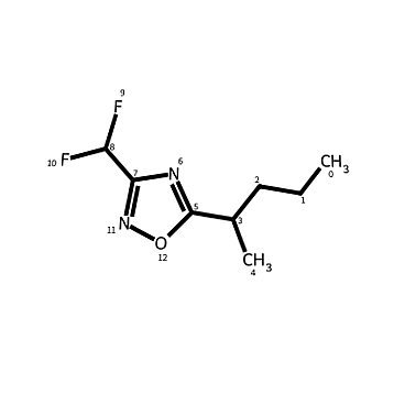 CCCC(C)c1nc(C(F)F)no1